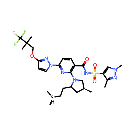 Cc1nn(C)cc1S(=O)(=O)NC(=O)c1ccc(-n2ccc(OCC(C)(C)C(F)(F)F)n2)nc1N1C[C@@H](C)CC1CC[SiH](C)C